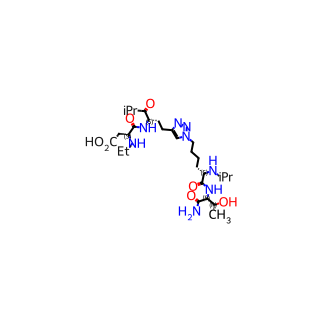 CCN[C@@H](CC(=O)O)C(=O)N[C@@H](CCc1cn(CCCC[C@H](NC(C)C)C(=O)N[C@H](C(N)=O)[C@@H](C)O)nn1)C(=O)C(C)C